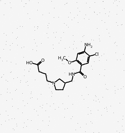 COc1cc(N)c(Cl)cc1C(=O)NCC1CCN(CCCC(=O)O)C1